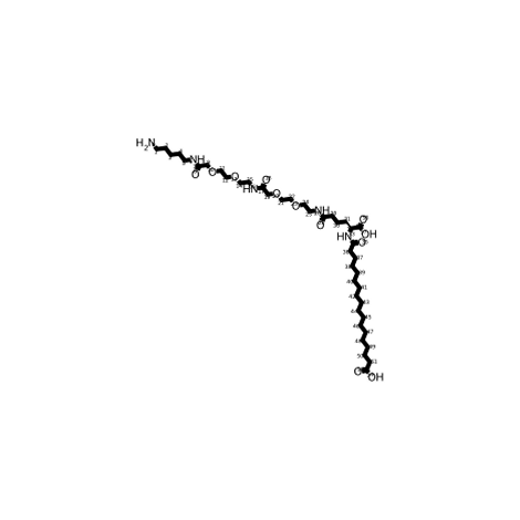 NCCCCCNC(=O)COCCOCCNC(=O)COCCOCCNC(=O)CCC[C@H](NC(=O)CCCCCCCCCCCCCCCCC(=O)O)C(=O)O